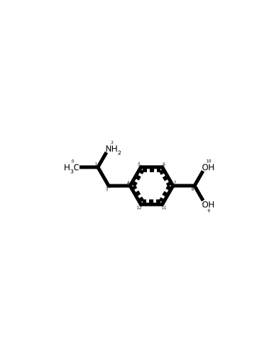 CC(N)Cc1ccc(C(O)O)cc1